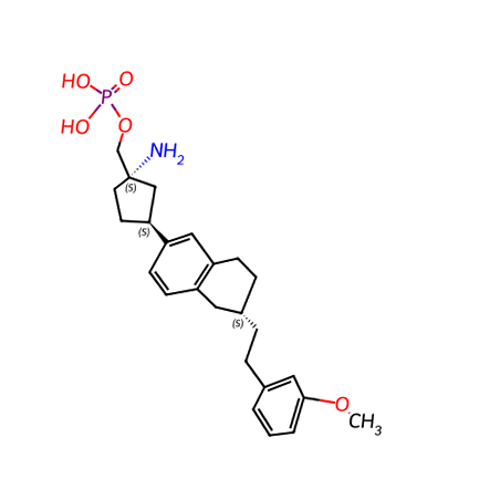 COc1cccc(CC[C@H]2CCc3cc([C@H]4CC[C@@](N)(COP(=O)(O)O)C4)ccc3C2)c1